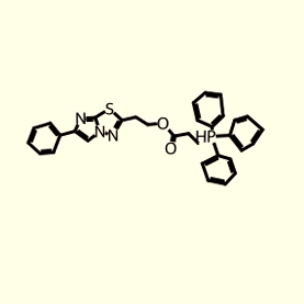 O=C(CC[PH](c1ccccc1)(c1ccccc1)c1ccccc1)OCCc1nn2cc(-c3ccccc3)nc2s1